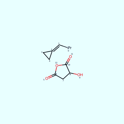 CC(C)C=C1CC1.O=C1CC(O)C(=O)O1